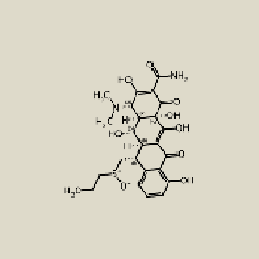 CCC[S+]([O-])C[C@H]1c2cccc(O)c2C(=O)C2=C(O)[C@]3(O)C(=O)C(C(N)=O)=C(O)[C@@H](N(C)C)[C@@H]3[C@@H](O)[C@@H]21